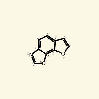 c1cc2ccc3ncoc3c2o1